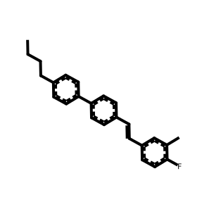 CCCCc1ccc(-c2ccc(/C=C/c3ccc(F)c(C)c3)cc2)cc1